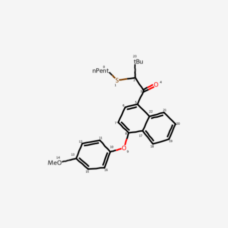 CCCCCSC(C(=O)c1ccc(Oc2ccc(OC)cc2)c2ccccc12)C(C)(C)C